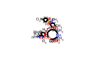 CCCNC[C@]1(O)[C@H](C)O[C@@H](O[C@H]2[C@H](C)[C@@H](O[C@@H]3O[C@H](C)C[C@H](N(C)S(=O)(=O)c4ccc([N+](=O)[O-])cc4)[C@H]3O)[C@](C)(O)C[C@@H](C)CN[C@H](C)[C@@H](O)[C@](C)(O)[C@@H](CC)OC(=O)[C@@H]2C)C[C@@]1(C)OC